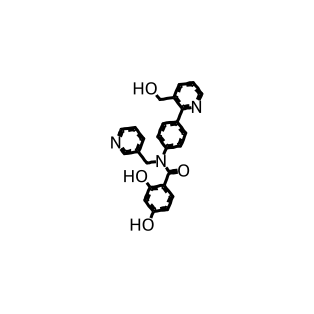 O=C(c1ccc(O)cc1O)N(Cc1cccnc1)c1ccc(-c2ncccc2CO)cc1